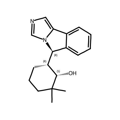 CC1(C)CCC[C@H]([C@@H]2c3ccccc3-c3cncn32)[C@@H]1O